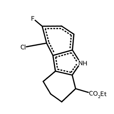 CCOC(=O)C1CCCc2c1[nH]c1ccc(F)c(Cl)c21